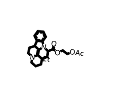 CC[C@]12CCCN3CCC4C(=C31)N(c1ccccc14)C(C(=O)OCCOC(C)=O)C2